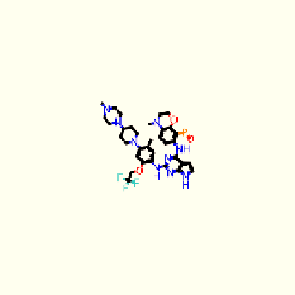 Cc1cc(Nc2nc(Nc3ccc4c(c3P=O)OCCN4C)c3cc[nH]c3n2)c(OCC(F)(F)F)cc1N1CCC(N2CCN(C)CC2)CC1